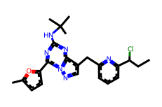 CCC(Cl)c1cccc(Cc2cnn3c(-c4ccc(C)o4)nc(NC(C)(C)C)nc23)n1